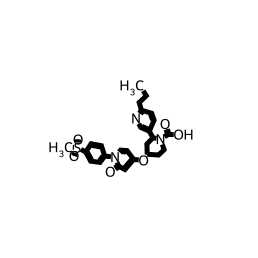 CCCc1ccc(C2CC(Oc3ccn(-c4ccc(S(C)(=O)=O)cc4)c(=O)c3)CCN2C(=O)O)cn1